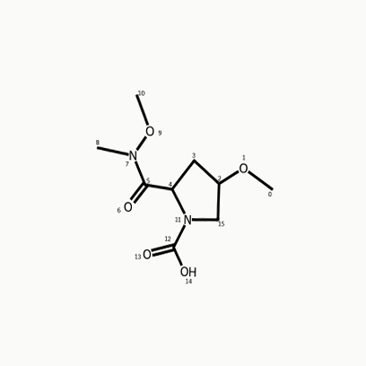 COC1CC(C(=O)N(C)OC)N(C(=O)O)C1